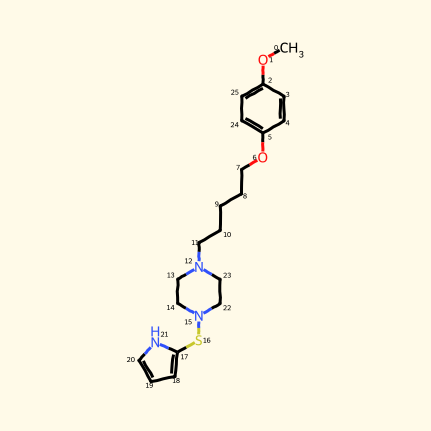 COc1ccc(OCCCCCN2CCN(Sc3ccc[nH]3)CC2)cc1